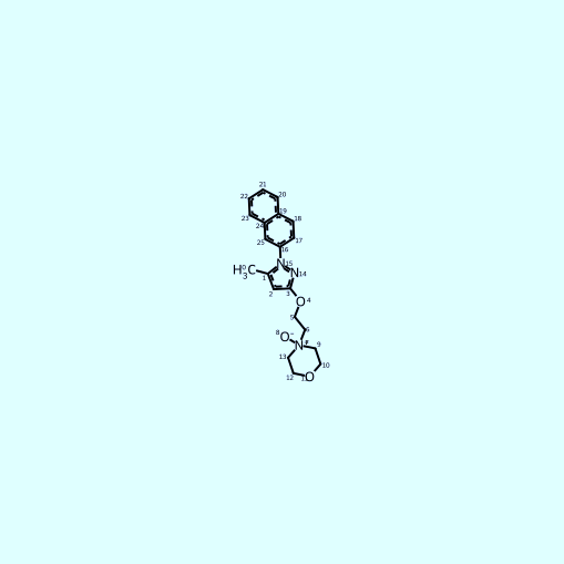 Cc1cc(OCC[N+]2([O-])CCOCC2)nn1-c1ccc2ccccc2c1